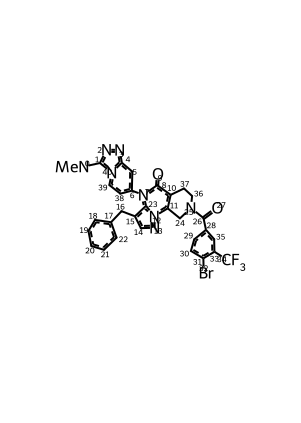 CNc1nnc2cc(-n3c(=O)c4c(n5ncc(Cc6ccccc6)c35)CN(C(=O)c3ccc(Br)c(C(F)(F)F)c3)CC4)ccn12